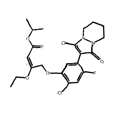 CCO/C(=C/C(=O)OC(C)C)COc1cc(-c2c(Cl)n3n(c2=O)CCCC3)c(F)cc1Cl